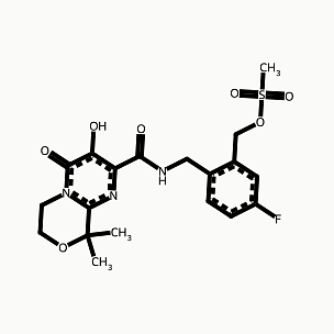 CC1(C)OCCn2c1nc(C(=O)NCc1ccc(F)cc1COS(C)(=O)=O)c(O)c2=O